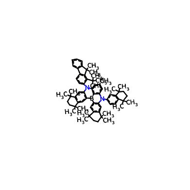 Cc1cc2c3c(c1)N(c1ccc4c(c1C(C)(C)C)C(C)(C)c1ccccc1-4)c1cc4c(cc1B3c1cc3c(cc1N2c1ccc2c(c1)C(C)(C)CCC2(C)C)C(C)(C)CCC3(C)C)C(C)(C)CCC4(C)C